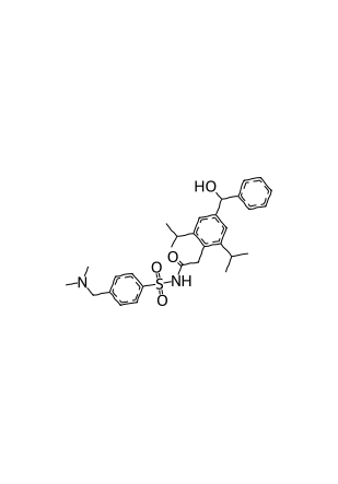 CC(C)c1cc(C(O)c2ccccc2)cc(C(C)C)c1CC(=O)NS(=O)(=O)c1ccc(CN(C)C)cc1